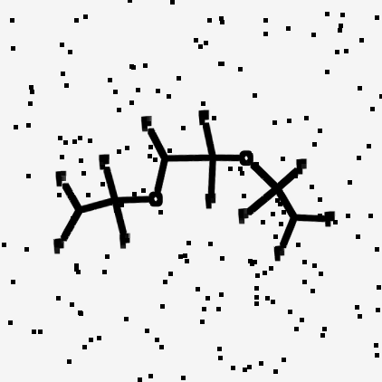 FC(F)C(F)(F)OC(F)C(F)(F)OC(F)(F)C(F)F